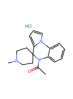 CC(=O)N1c2ccccc2-n2cccc2C12CCN(C)CC2.Cl